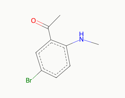 CNc1ccc(Br)cc1C(C)=O